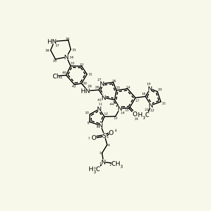 CN(C)CCS(=O)(=O)n1ccnc1Cn1c(=O)c(-c2nccn2C)cc2cnc(Nc3ccc(N4CCNCC4)c(Cl)c3)nc21